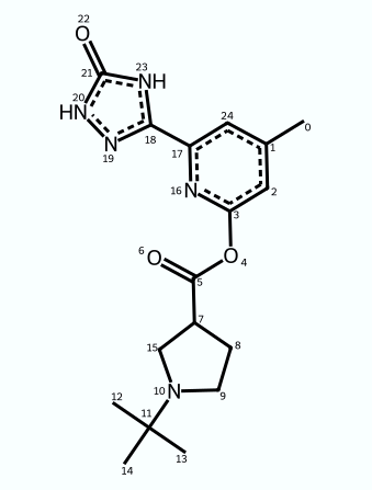 Cc1cc(OC(=O)C2CCN(C(C)(C)C)C2)nc(-c2n[nH]c(=O)[nH]2)c1